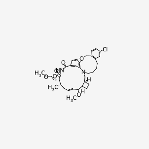 COCC[C@H]1[C@@H](C)C/C=C/[C@H](OC)[C@@H]2CC[C@H]2CN2CCCCc3cc(Cl)ccc3COc3ccc(cc32)C(=O)NS1(=O)=O